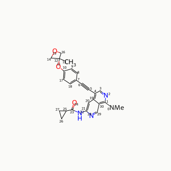 CNc1ncc(C#Cc2ccc(OC3(C)COC3)cc2)c2cc(NC(=O)C3CC3)ncc12